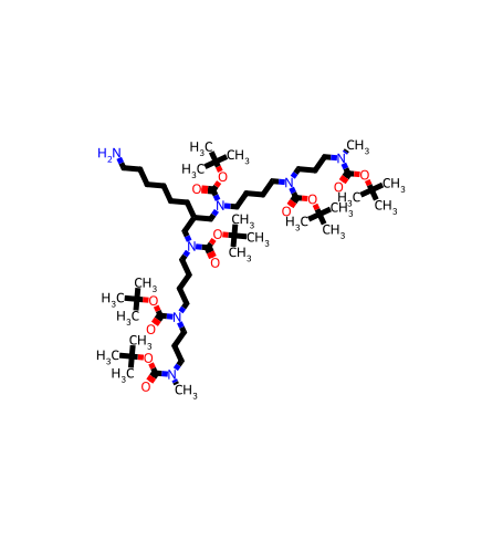 CN(CCCN(CCCCN(CC(CCCCCCN)CN(CCCCN(CCCN(C)C(=O)OC(C)(C)C)C(=O)OC(C)(C)C)C(=O)OC(C)(C)C)C(=O)OC(C)(C)C)C(=O)OC(C)(C)C)C(=O)OC(C)(C)C